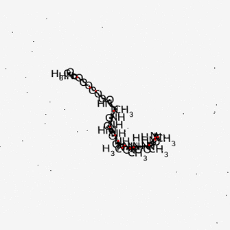 CC(=O)Nc1ccc(OCCOCCOCCOCCOCCOCCC(=O)NCCCN(C)CCCNC(=O)CCNC(=O)c2nc(NC(=O)CCNC(=O)c3cc(NC(=O)c4nc(NC(=O)CCNC(=O)c5cc(NC(=O)c6nccn6C)cn5C)cn4C)cn3C)c[nH]2)cc1